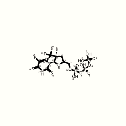 O=P(O)(O)OP(=O)(O)OP(=O)(O)OCC1C[C@](F)(C(F)(F)F)[C@H](n2cc(F)c(=S)[nH]c2=S)O1